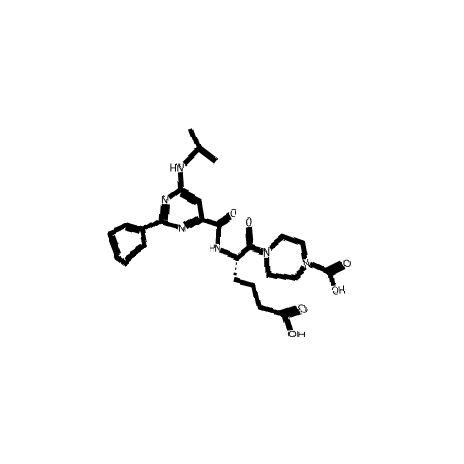 CC(C)Nc1cc(C(=O)N[C@@H](CCCC(=O)O)C(=O)N2CCN(C(=O)O)CC2)nc(-c2ccccc2)n1